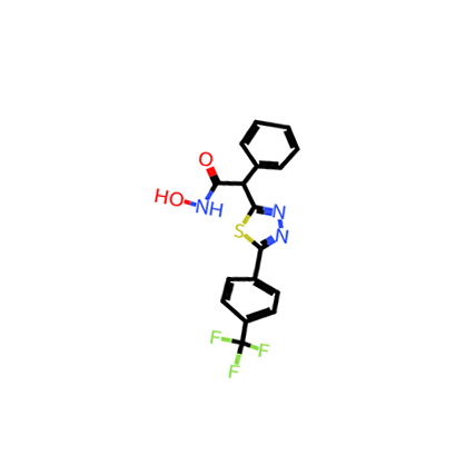 O=C(NO)C(c1ccccc1)c1nnc(-c2ccc(C(F)(F)F)cc2)s1